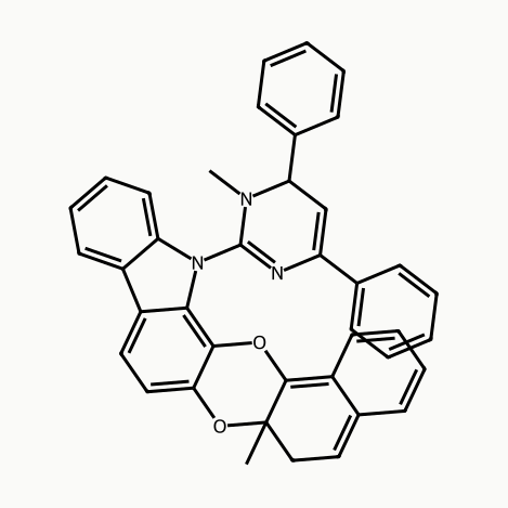 CN1C(n2c3ccccc3c3ccc4c(c32)OC2=c3ccccc3=CCC2(C)O4)=NC(c2ccccc2)=CC1c1ccccc1